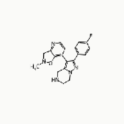 CN1Cc2nccc(-c3c(-c4ccc(F)cc4)nn4c3CNCC4)c2O1